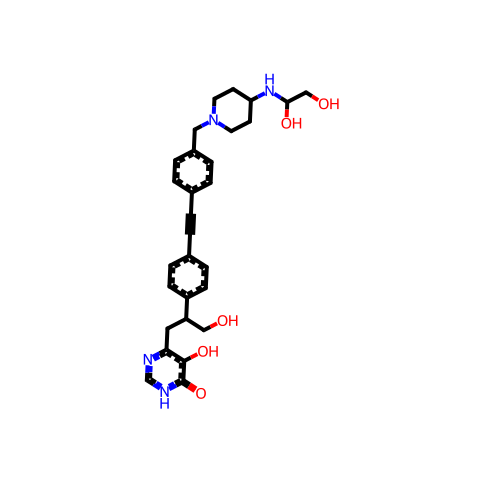 O=c1[nH]cnc(CC(CO)c2ccc(C#Cc3ccc(CN4CCC(NC(O)CO)CC4)cc3)cc2)c1O